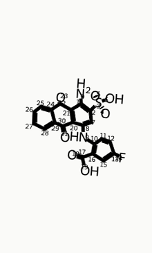 Nc1c(S(=O)(=O)O)cc(Nc2ccc(F)cc2C(=O)O)c2c1C(=O)c1ccccc1C2=O